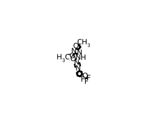 CCOc1nc2oc(C)cc2nc1NC(=O)N1CCN(c2cccc(OC(F)(F)F)c2)CC1